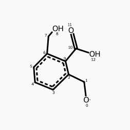 [O]Cc1cccc(CO)c1C(=O)O